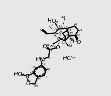 C=C[C@]1(C)C[C@@H](OC(=O)CNc2ccc3c(c2)B(O)OC3)[C@]2(C)[C@H](C)CC[C@]3(CCC(=O)[C@H]32)[C@@H](C)[C@@H]1O.Cl